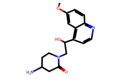 COc1ccc2nccc(C(O)CN3CCC(N)CC3=O)c2c1